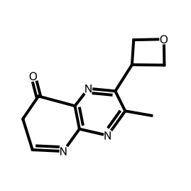 Cc1nc2c(nc1C1COC1)C(=O)CC=N2